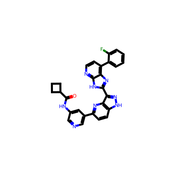 O=C(Nc1cncc(-c2ccc3[nH]nc(-c4nc5c(-c6ccccc6F)ccnc5[nH]4)c3n2)c1)C1CCC1